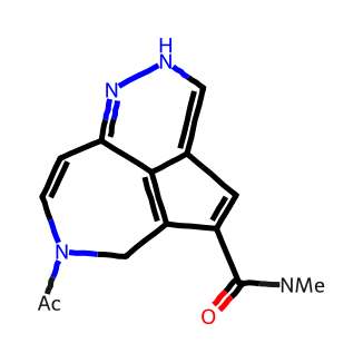 CNC(=O)c1cc2c[nH]nc3c-2c1CN(C(C)=O)C=C3